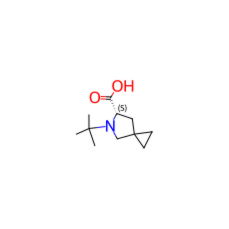 CC(C)(C)N1CC2(CC2)C[C@H]1C(=O)O